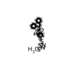 CSc1nnc(SC[N+]23CCC(CC2)[C@@H](OC(=O)N(Cc2ccccc2)c2ccccc2)C3)s1